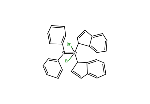 [Br][Zr]([Br])([CH]1C=Cc2ccccc21)([CH]1C=Cc2ccccc21)=[Si](c1ccccc1)c1ccccc1